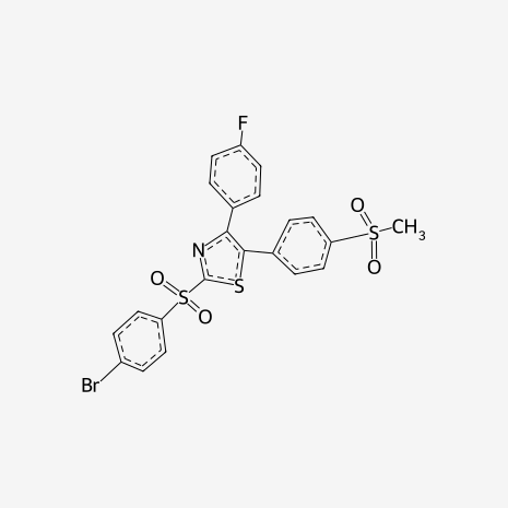 CS(=O)(=O)c1ccc(-c2sc(S(=O)(=O)c3ccc(Br)cc3)nc2-c2ccc(F)cc2)cc1